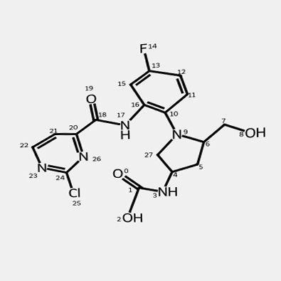 O=C(O)NC1CC(CO)N(c2ccc(F)cc2NC(=O)c2ccnc(Cl)n2)C1